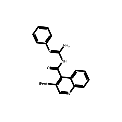 CCCC(C)c1cnc2ccccc2c1C(=O)NC(N)=Nc1ccccc1